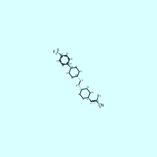 N#C/C(F)=C/[C@H]1CC[C@H](CC[C@H]2CC[C@H](c3ccc(C(F)(F)F)cc3)CC2)CC1